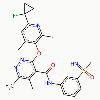 Cc1cc(C2(F)CC2)nc(C)c1Oc1nnc(C(F)(F)F)c(C)c1C(=O)Nc1cccc(S(C)(=N)=O)c1